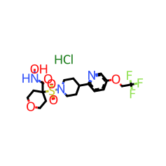 Cl.O=C(NO)C1(S(=O)(=O)N2CCC(c3ccc(OCC(F)(F)F)cn3)CC2)CCOCC1